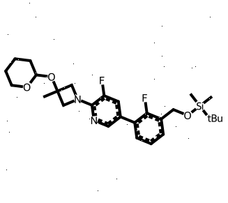 CC1(OC2CCCCO2)CN(c2ncc(-c3cccc(CO[Si](C)(C)C(C)(C)C)c3F)cc2F)C1